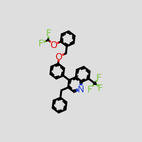 FC(F)Oc1ccccc1COc1cccc(-c2c(Cc3ccccc3)cnc3c(C(F)(F)F)cccc23)c1